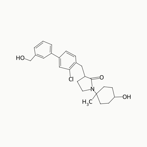 CC1(N2CCC(Cc3ccc(-c4cccc(CO)c4)cc3Cl)C2=O)CCC(O)CC1